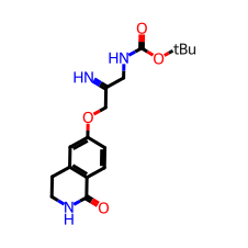 CC(C)(C)OC(=O)NCC(=N)COc1ccc2c(c1)CCNC2=O